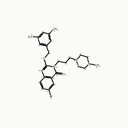 Cc1cc(C)cc(CSc2nc3ccc(Br)cc3c(=O)n2CCCN2CCN(C)CC2)c1